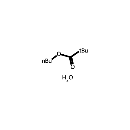 CCCCOC(=O)C(C)(C)C.O